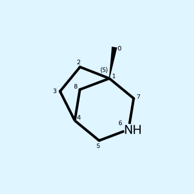 C[C@@]12CCC(CNC1)C2